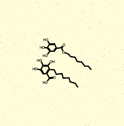 CCCCCCCCOC(=O)c1cc(O)c(O)c(O)c1.CCCCCCCCc1c(C(=O)O)cc(O)c(O)c1O